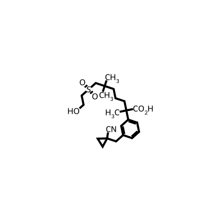 CC(C)(CCCC(C)(C(=O)O)c1cccc(CC2(C#N)CC2)c1)CS(=O)(=O)CCO